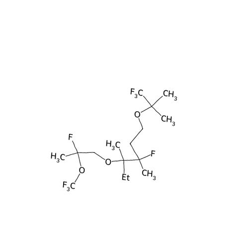 CCC(C)(OCC(C)(F)OC(F)(F)F)C(C)(F)CCOC(C)(C)C(F)(F)F